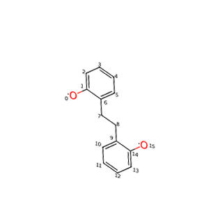 [O]c1ccccc1CCc1ccccc1[O]